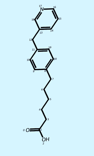 O=C(O)CCCCCc1ccc(Cc2cccnc2)cc1